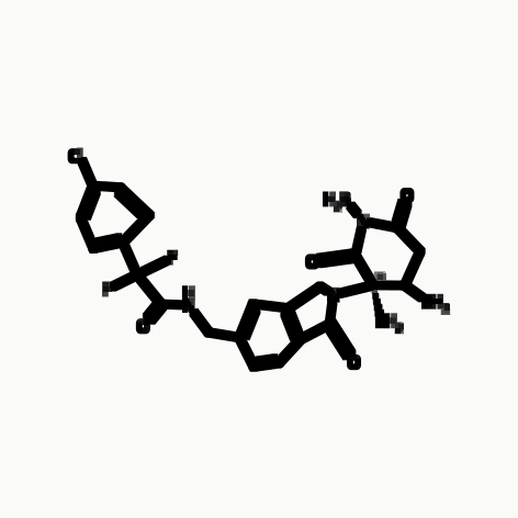 BC1CC(=O)N(B)C(=O)[C@]1(B)N1Cc2cc(CNC(=O)C(F)(F)c3ccc(Cl)cc3)ccc2C1=O